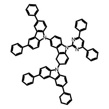 C1=CCCC(c2ccc3c(c2)c2cc(-c4ccccc4)ccc2n3C2C=Cc3c(c4cc(-n5c6ccc(-c7ccccc7)cc6c6cc(-c7ccccc7)ccc65)ccc4n3-c3nc(-c4ccccc4)cc(-c4ccccc4)n3)C2)=C1